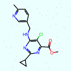 COC(=O)c1nc(C2CC2)nc(NCc2ccc(C)nc2)c1Cl